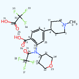 CN1CCC(c2ccc(C(=O)O)c(N(C(=O)C(F)(F)F)C3CCOCC3)c2)CC1.O=C(O)C(F)(F)F